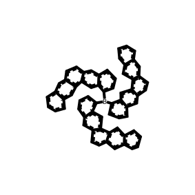 c1ccc2cc3c(ccc4cc5cccc(B(c6cccc7cc8ccc9cc%10ccccc%10cc9c8cc67)c6cccc7cc8ccc9cc%10ccccc%10cc9c8cc67)c5cc43)cc2c1